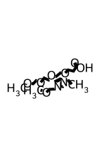 CCN1C=CN(CCOC)C1.COCCOCCOCCOCCC(=O)O